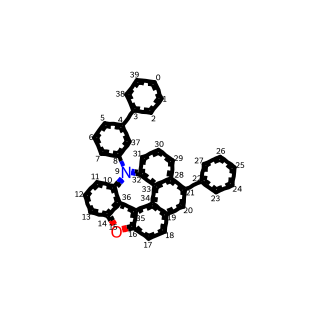 c1ccc(-c2cccc(-n3c4cccc5oc6ccc7cc(-c8ccccc8)c8cccc3c8c7c6c54)c2)cc1